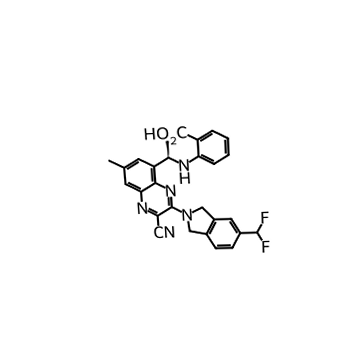 Cc1cc([C@@H](C)Nc2ccccc2C(=O)O)c2nc(N3Cc4ccc(C(F)F)cc4C3)c(C#N)nc2c1